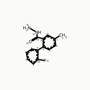 Cc1ccc(-c2ccccc2F)c(C(=O)NN)c1